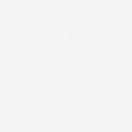 Cn1cc(-c2ccc(-c3cnc(N(CC(C)(C)O)[C@@H]4C[C@H]5CC[C@H](N5)[C@@H]4F)cn3)c(O)c2)cn1